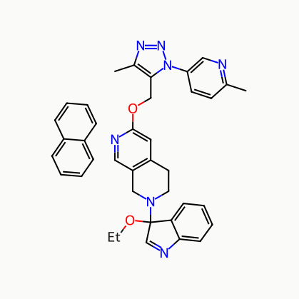 CCOC1(N2CCc3cc(OCc4c(C)nnn4-c4ccc(C)nc4)ncc3C2)C=Nc2ccccc21.c1ccc2ccccc2c1